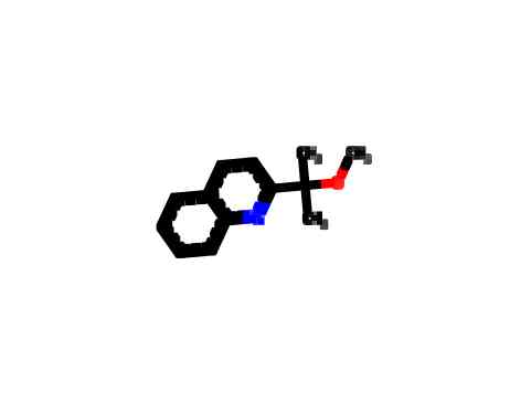 COC(C)(C)c1ccc2ccccc2n1